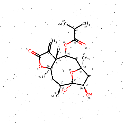 C=C1C(=O)O[C@@H]2C[C@H](C)[C@@]3(O)O[C@](C)(C[C@H]3O)C[C@@H](OC(=O)C(C)C)[C@@H]12